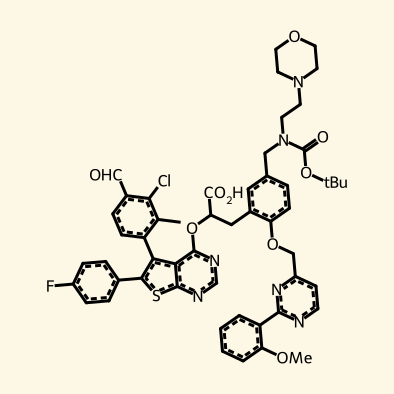 COc1ccccc1-c1nccc(COc2ccc(CN(CCN3CCOCC3)C(=O)OC(C)(C)C)cc2CC(Oc2ncnc3sc(-c4ccc(F)cc4)c(-c4ccc(C=O)c(Cl)c4C)c23)C(=O)O)n1